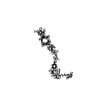 CC(C)[C@H](NC(=O)CCCCCN1C(=O)C=CC1=O)C(=O)N[C@@H](C)C(=O)Nc1ccc(COC(=O)N(C)CCOC(=O)Nc2ncnc3c2ncn3[C@H]2C[C@@H]3O[PH](=O)OC[C@@H]4C[C@@H](O[PH](=O)OC[C@H]3O2)[C@H](n2cc(F)c3c(=O)[nH]cnc32)O4)cc1